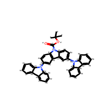 CC(C)(C)OC(=O)n1c2ccc(-n3c4ccccc4c4ccccc43)cc2c2cc(-n3c4ccccc4c4ccccc43)ccc21